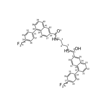 O=C(NCCC[SH]=C(O)c1ccc2c(-c3ccc(C(F)(F)F)cc3)cccc2c1)c1ccc2c(-c3ccc(C(F)(F)F)cc3)cccc2c1